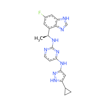 C[C@H](Nc1nccc(Nc2cc(C3CC3)[nH]n2)n1)c1cc(F)cc2[nH]cnc12